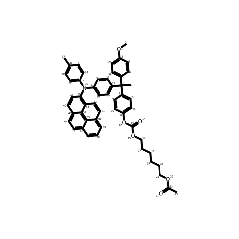 COc1ccc(C(C)(c2ccc(OC(=O)OCCCCCCOC(C)=O)cc2)c2ccc(N(c3ccc(C)cc3)c3ccc4ccc5cccc6ccc3c4c56)cc2)cc1